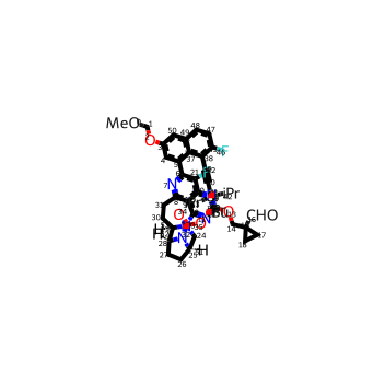 COCOc1cc(-c2nc3c4c(nc(OCC5(C=O)CC5)nc4c2F)N2C[C@H]4CC[C@@H]([C@H]2CC3)N4C(=O)OC(C)(C)C)c2c(C#C[Si](C(C)C)(C(C)C)C(C)C)c(F)ccc2c1